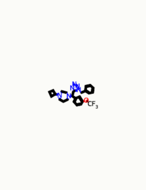 FC(F)(F)Oc1cccc(C(c2nnnn2Cc2ccccc2)N2CCCN(C3CCC3)CC2)c1